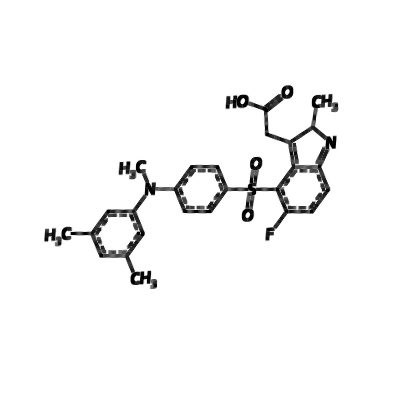 Cc1cc(C)cc(N(C)c2ccc(S(=O)(=O)c3c(F)ccc4c3=C(CC(=O)O)C(C)N=4)cc2)c1